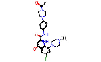 CCC(=O)N1CCN(c2ccc(NC(=O)c3cc(=O)c4cc(F)cc(N5CCN(C)CC5)c4[nH]3)cc2)CC1